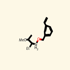 C=Cc1cccc(CO[SiH2]C(CC)C(C)OC)c1